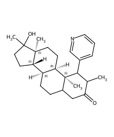 CC1C(=O)CC2CC[C@@H]3[C@@H](CC[C@@]4(C)[C@H]3CCC4(C)O)[C@@]2(C)C1c1cccnc1